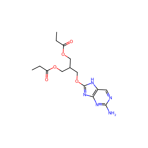 CCC(=O)OCC(COC(=O)CC)COc1nc2nc(N)ncc2[nH]1